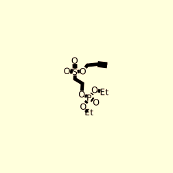 C#CCOS(=O)(=O)CCOP(=O)(OCC)OCC